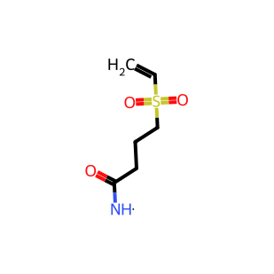 C=CS(=O)(=O)CCCC([NH])=O